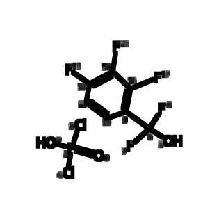 O=P(O)(Cl)Cl.OC(F)(F)c1ccc(F)c(F)c1F